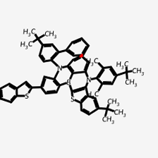 Cc1cc(C(C)(C)C)cc(C)c1N1c2cccc3c2B(c2ccc(-c4cc5ccccc5s4)cc2N3c2ccc(C(C)(C)C)cc2-c2ccccc2)c2sc3ccc(C(C)(C)C)cc3c21